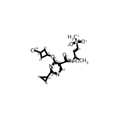 CC(/C=C/S(C)(=O)=O)NC(=O)c1cnc(C2CC2)nc1OC1CC(Cl)C1